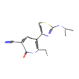 CCc1[nH]c(=O)c(C#N)cc1-c1csc(NC(C)C)n1